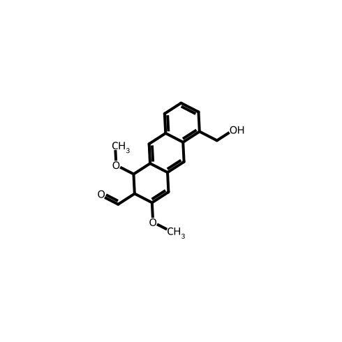 COC1=Cc2cc3c(CO)cccc3cc2C(OC)C1C=O